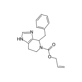 C=CCOC(=O)N1CCc2[nH]cnc2C1Cc1ccccc1